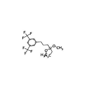 CC[Si](CCCc1cc(C(F)(F)F)cc(C(F)(F)F)c1)(OC)OC